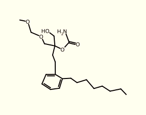 CCCCCCCCc1ccccc1CCC(CO)(COCOC)OC(N)=O